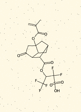 C=C(C)C(=O)OC12CC(=O)C3C(C(=O)OC(C(F)(F)F)C(F)(F)S(=O)(=O)O)C(CC31)C2